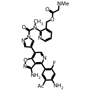 CNCC(=O)OCc1cccnc1N(C)C(=O)n1cc(-c2cnc(-c3cc(C(C)=O)c(N)cc3F)c3c(N)noc23)cn1